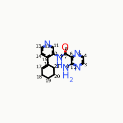 Nc1nccnc1C(=O)Nc1cnccc1C1=CCCCC1